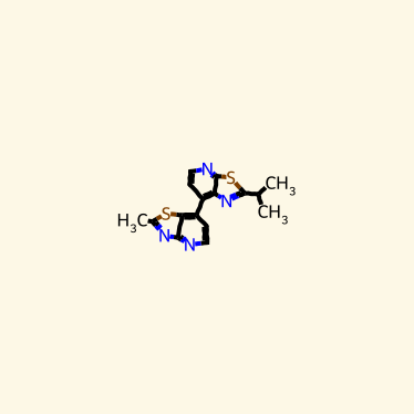 Cc1nc2nccc(-c3ccnc4sc(C(C)C)nc34)c2s1